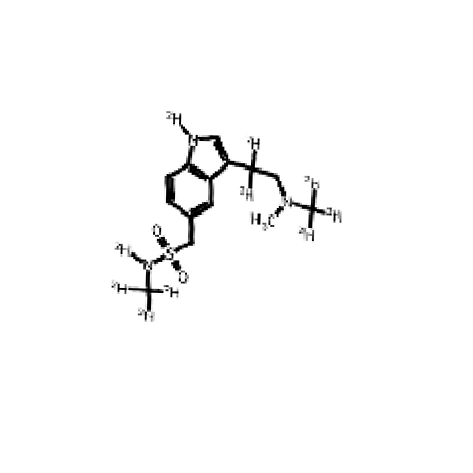 [2H]N(C([2H])([2H])[2H])S(=O)(=O)Cc1ccc2c(c1)c(C([2H])([2H])CN(C)C([2H])([2H])[2H])cn2[2H]